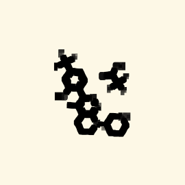 Cc1c(-c2ccc(C(F)(F)F)cc2O)nnc2c1CCCN2[C@@H]1CCCNC1.O=C(O)C(F)(F)F